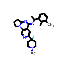 CC(=O)N1CCC(F)(c2cc3/c(=N/C(C)c4cccc(C(F)(F)F)c4C)nc4n(c3cn2)CCC4)CC1